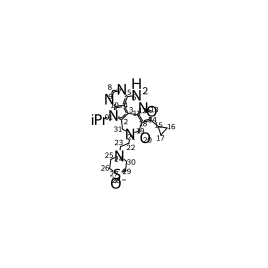 CC(C)n1c2c(c3c(N)ncnc31)-c1noc(C3CC3)c1C(=O)N(CCN1CC[S+]([O-])CC1)C2